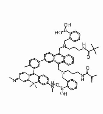 C=C(C)C(=O)NCCCN(Cc1ccccc1B(O)O)Cc1c2ccccc2c(CN(CCCNC(=O)C(C)(C)C)Cc2ccccc2B(O)O)c2ccc(-c3ccc(C)c(C4=C5C=C/C(=N\C)C=C5[Si](C)(C)c5cc(NC)ccc54)c3)cc12